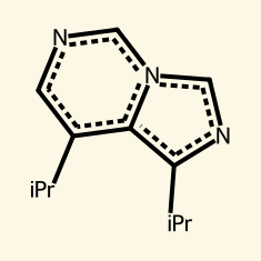 CC(C)c1cncn2cnc(C(C)C)c12